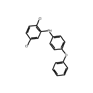 Clc1ccc(Cl)c(Pc2ccc(Oc3ccccc3)cc2)c1